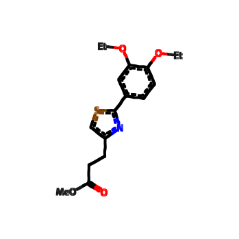 CCOc1ccc(-c2nc(CCC(=O)OC)cs2)cc1OCC